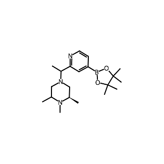 CC(c1cc(B2OC(C)(C)C(C)(C)O2)ccn1)N1CC(C)N(C)[C@H](C)C1